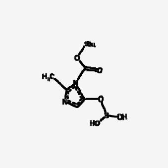 Cc1ncc(OB(O)O)n1C(=O)OC(C)(C)C